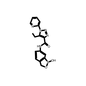 CCc1c(C(=O)Nc2ccc3c(c2)B(O)OC3)nnn1-c1ccccn1